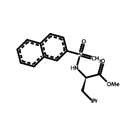 C=S(=O)(N[C@H](CC(C)C)C(=O)OC)c1ccc2ccccc2c1